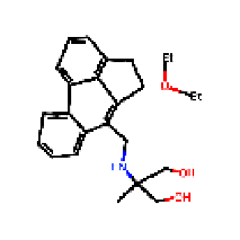 CC(CO)(CO)NCc1c2c3c(cccc3c3ccccc13)CC2.CCOCC